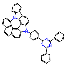 c1ccc(-c2nc(-c3ccccc3)nc(-c3ccc(-n4c5ccc6ccc7cccc8c7c6c5c5c4ccc4c6ccccc6n8c45)cc3)n2)cc1